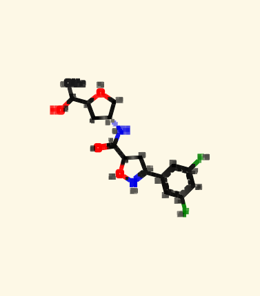 COC(O)C1C[C@@H](NC(=O)C2CC(c3cc(F)cc(F)c3)=NO2)CO1